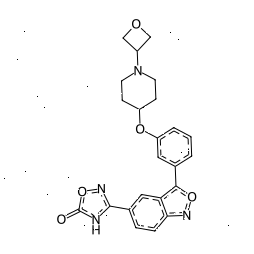 O=c1[nH]c(-c2ccc3noc(-c4cccc(OC5CCN(C6COC6)CC5)c4)c3c2)no1